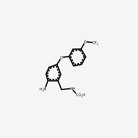 Nc1ccc(Oc2cccc(OC(F)(F)F)c2)cc1CNC(=O)O